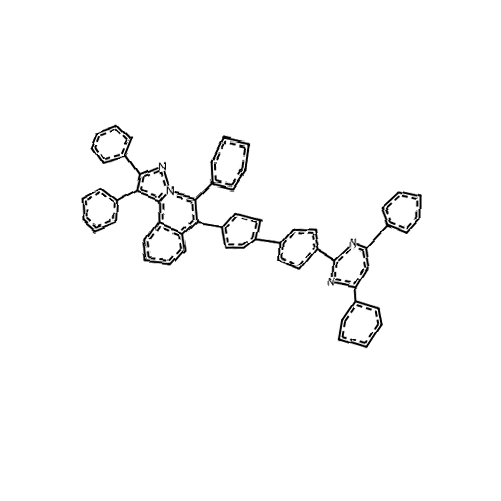 c1ccc(-c2cc(-c3ccccc3)nc(-c3ccc(-c4ccc(-c5c(-c6ccccc6)n6nc(-c7ccccc7)c(-c7ccccc7)c6c6ccccc56)cc4)cc3)n2)cc1